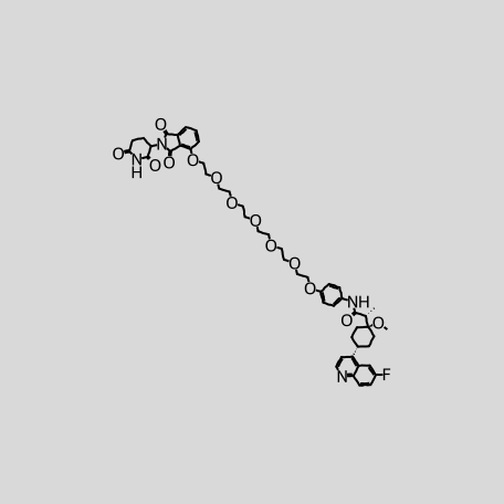 CO[C@]1([C@@H](C)C(=O)Nc2ccc(OCCOCCOCCOCCOCCOCCOc3cccc4c3C(=O)N(C3CCC(=O)NC3=O)C4=O)cc2)CC[C@@H](c2ccnc3ccc(F)cc32)CC1